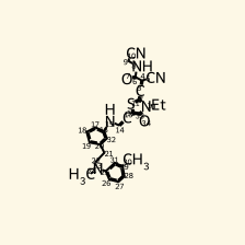 CCn1c(=C=C(C#N)C(=O)NCC#N)sc(=C=CNc2cccc(CCN(C)c3cccc(C)c3)c2)c1=O